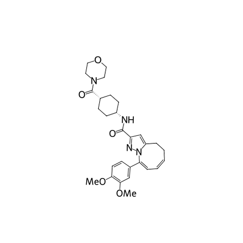 COc1ccc(/C2=C/C=C\CCc3cc(C(=O)N[C@H]4CC[C@@H](C(=O)N5CCOCC5)CC4)nn32)cc1OC